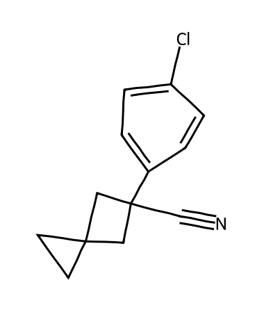 N#CC1(c2ccc(Cl)cc2)CC2(CC2)C1